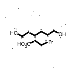 CC(C)CCC(=O)O.OCCCCCCO